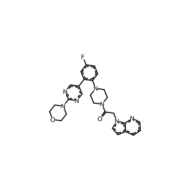 O=C(Cn1ccc2cccnc21)N1CCN(c2ccc(F)cc2-c2cnc(N3CCOCC3)nc2)CC1